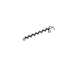 CC(=O)CCCCCCCCCCCCC=O